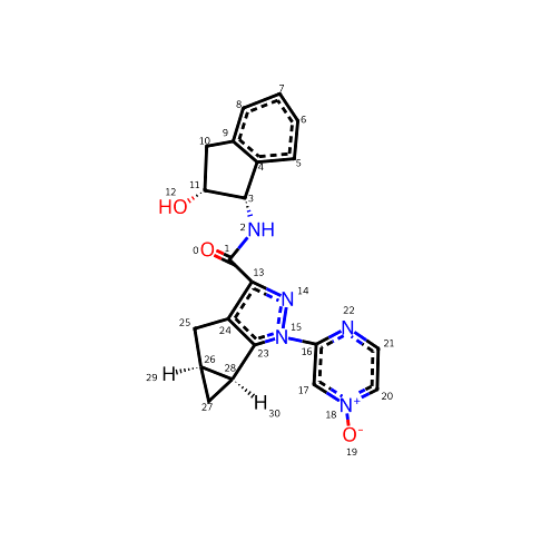 O=C(N[C@H]1c2ccccc2C[C@H]1O)c1nn(-c2c[n+]([O-])ccn2)c2c1C[C@@H]1C[C@H]21